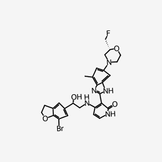 Cc1cc(N2CCO[C@@H](CF)C2)cc2[nH]c(-c3c(NC[C@H](O)c4cc(Br)c5c(c4)CCO5)cc[nH]c3=O)nc12